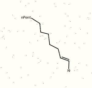 CCCCCCCCCCC=C[N]